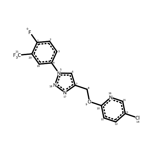 Fc1ccc(-n2cc(COc3ccc(Cl)cn3)nn2)cc1C(F)(F)F